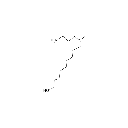 CN(CCCN)CCCCCCCCCO